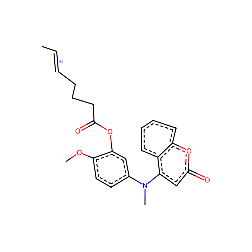 C/C=C/CCCC(=O)Oc1cc(N(C)c2cc(=O)oc3ccccc23)ccc1OC